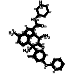 Cc1cc(Oc2ccccn2)ccc1C1(N)C(=O)C(N)c2c(C(=O)NC3CCCNC3)sc3c(N)ccc1c23